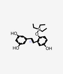 CC[Si](CC)(CC)Oc1ccc(O)cc1/C=C/c1cc(O)cc(O)c1